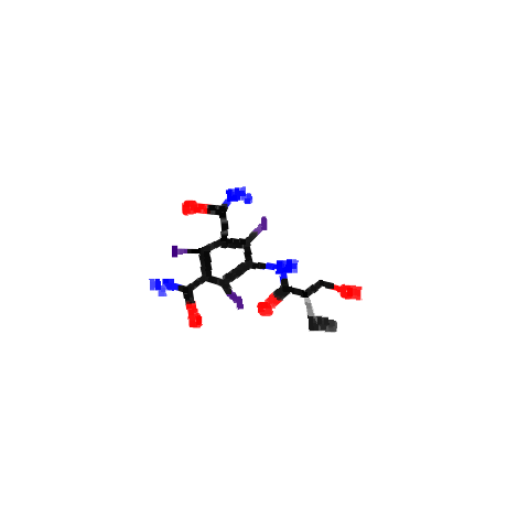 CN[C@@H](CO)C(=O)Nc1c(I)c(C(N)=O)c(I)c(C(N)=O)c1I